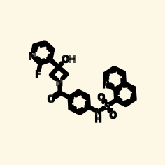 O=C(c1ccc(NS(=O)(=O)c2cccc3cccnc23)cc1)N1CC(O)(c2cccnc2F)C1